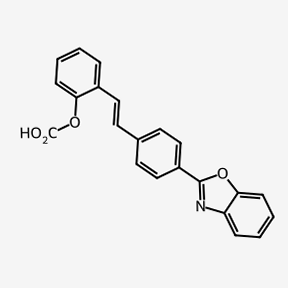 O=C(O)Oc1ccccc1C=Cc1ccc(-c2nc3ccccc3o2)cc1